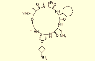 CCCCCC[C@H]1OC[C@@H](C)NC(=O)[C@H](CO[C@H]2C[C@H](N)C2)NC(=O)[C@H](CN)NC(=O)[C@H](C2CCCCCC2)NC(=O)[C@H](CCC)N(C)C(=O)[C@@H]1C